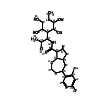 CSC(O)C(O)C(C(O)CO)C(NC(=O)C1NCC2CC(c3ccc(F)cc3F)CCOC21)C(C)Cl